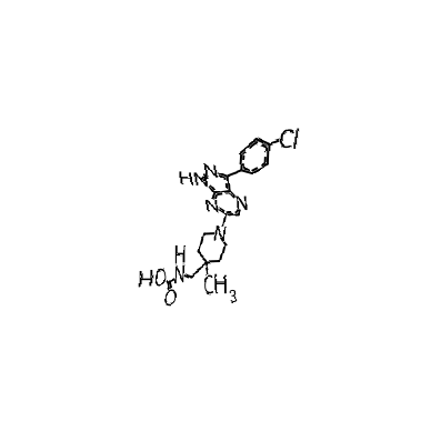 CC1(CNC(=O)O)CCN(c2cnc3c(-c4ccc(Cl)cc4)n[nH]c3n2)CC1